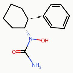 NC(=O)N(O)[C@@H]1CCCC[C@@H]1c1ccccc1